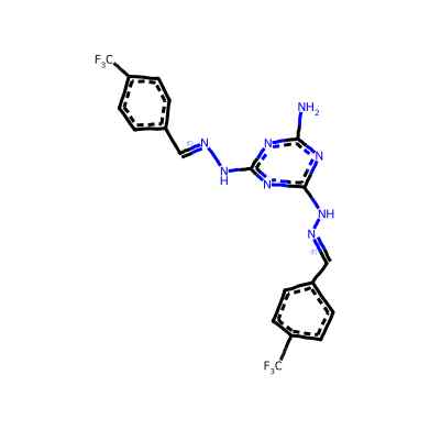 Nc1nc(N/N=C/c2ccc(C(F)(F)F)cc2)nc(N/N=C/c2ccc(C(F)(F)F)cc2)n1